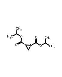 CC(C)OC(=O)[C@@H]1CN1C(=O)OC(C)C